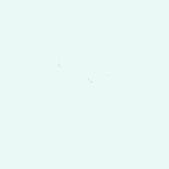 NC1COC2CC(=O)N12